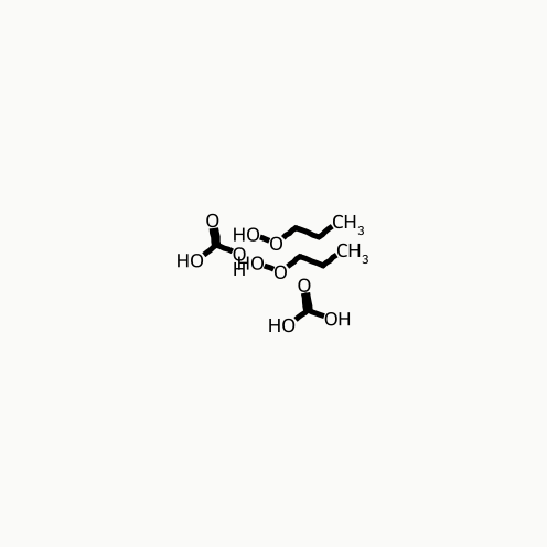 CCCOO.CCCOO.O=C(O)O.O=C(O)O